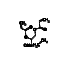 C=C.C=CC(=O)OCC(OC)OC(=O)C=C